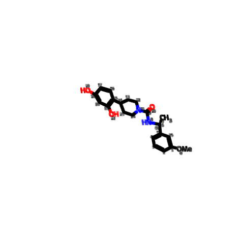 COc1cccc([C@H](C)NC(=O)N2CCC(c3ccc(O)cc3O)CC2)c1